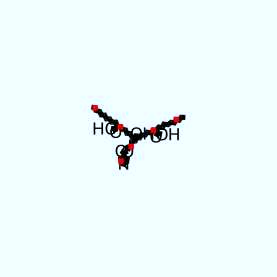 CCCCCCCCCCC(CCCCCCC(O)(CCCCCCC(CCCCCCCCCC)C(=O)O)CCCCOC(=O)C1CCN(C)CC1)C(=O)O